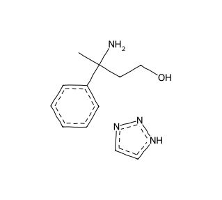 CC(N)(CCO)c1ccccc1.c1c[nH]nn1